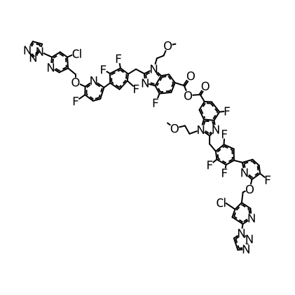 COCCn1c(Cc2c(F)cc(-c3ccc(F)c(OCc4cnc(-n5ccnn5)cc4Cl)n3)c(F)c2F)nc2c(F)cc(C(=O)OC(=O)c3cc(F)c4nc(Cc5c(F)cc(-c6ccc(F)c(OCc7cnc(-n8ccnn8)cc7Cl)n6)c(F)c5F)n(CCOC)c4c3)cc21